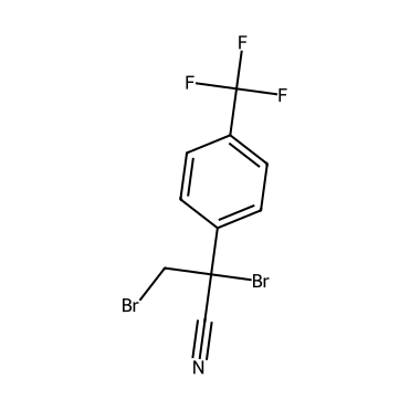 N#CC(Br)(CBr)c1ccc(C(F)(F)F)cc1